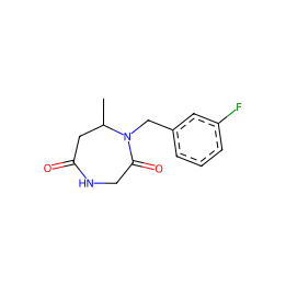 CC1CC(=O)NCC(=O)N1Cc1cccc(F)c1